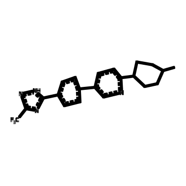 CC1CCC(c2ccc(-c3ccc(-c4nc(C(F)(F)F)n[nH]4)cc3)cn2)CC1